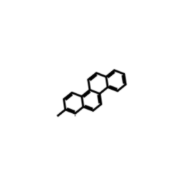 Cc1[c]c2ccc3c4ccccc4ccc3c2cc1